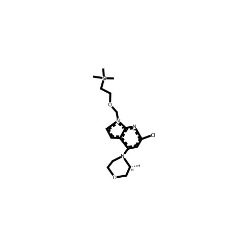 C[C@@H]1COCCN1c1cc(Cl)nc2c1ccn2COCC[Si](C)(C)C